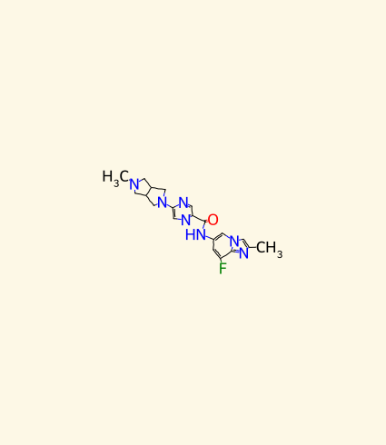 Cc1cn2cc(NC(=O)c3cnc(N4CC5CN(C)CC5C4)cn3)cc(F)c2n1